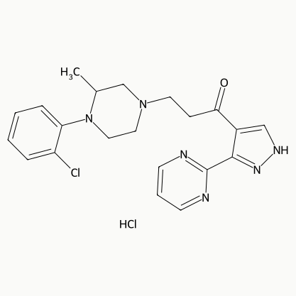 CC1CN(CCC(=O)c2c[nH]nc2-c2ncccn2)CCN1c1ccccc1Cl.Cl